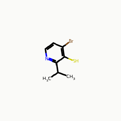 CC(C)c1nccc(Br)c1S